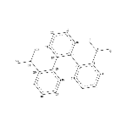 CC(C)c1ccccc1-c1[c]cccc1-c1ccccc1C(C)C